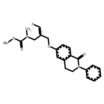 CN(C/C(=C\F)COc1ccc2c(c1)CCN(c1ccccc1)C2=O)C(=O)OC(C)(C)C